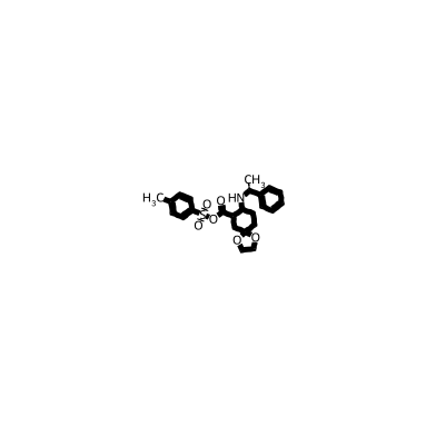 Cc1ccc(S(=O)(=O)OC(=O)C2CC3(CCC2N[C@H](C)c2ccccc2)OCCO3)cc1